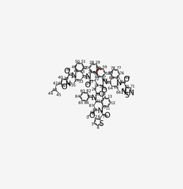 COc1ccsc1C(=O)N1c2ccccc2C(N(C(=O)CC(CC(=O)N(c2ccccc2)C2CC(C)N(C(=O)c3cc(CC(C)C)on3)c3ccccc32)C(=O)N(c2ccccc2)C2CC(C)N(C(=O)c3cnsn3)c3ccccc32)c2ccccc2)CC1C